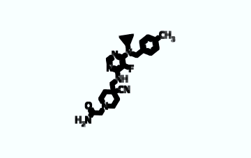 Cc1ccc(CN(c2ncnc(NCC3(C#N)CCN(CC(N)=O)CC3)c2F)C2CC2)cc1